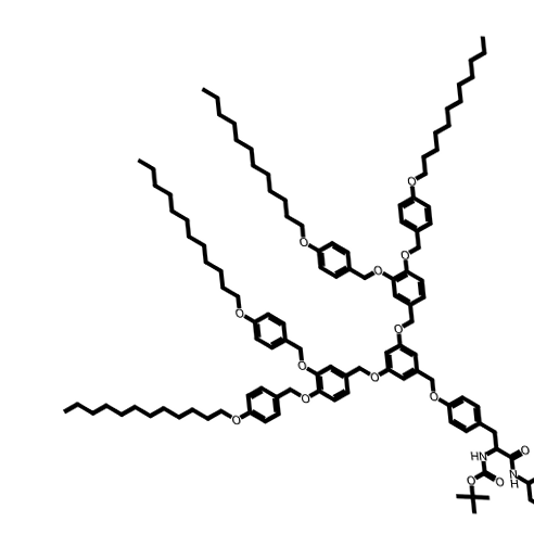 CCCCCCCCCCCCOc1ccc(COc2ccc(COc3cc(COc4ccc(CC(NC(=O)OC(C)(C)C)C(=O)NC(Cc5ccccc5)C(=O)OC)cc4)cc(OCc4ccc(OCc5ccc(OCCCCCCCCCCCC)cc5)c(OCc5ccc(OCCCCCCCCCCCC)cc5)c4)c3)cc2OCc2ccc(OCCCCCCCCCCCC)cc2)cc1